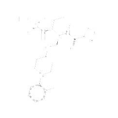 CS(=O)(=O)N[C@H]1CCCN(C(=O)C2COC2)[C@H]1COC1CCN(c2ccccc2F)CC1